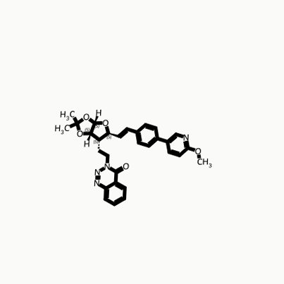 COc1ccc(-c2ccc(C=C[C@@H]3O[C@H]4OC(C)(C)O[C@H]4[C@H]3CCn3nnc4ccccc4c3=O)cc2)cn1